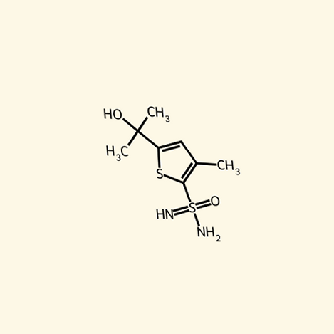 Cc1cc(C(C)(C)O)sc1S(=N)(N)=O